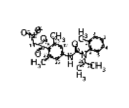 Cc1ccccc1N(C(=O)Nc1cc(C)c(S(=O)(=O)C[N+](=O)[O-])c(C)c1)C(C)C